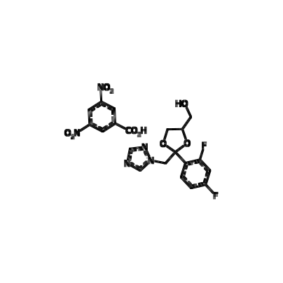 O=C(O)c1cc([N+](=O)[O-])cc([N+](=O)[O-])c1.OCC1COC(Cn2cncn2)(c2ccc(F)cc2F)O1